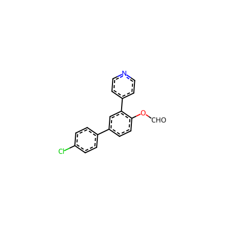 O=COc1ccc(-c2ccc(Cl)cc2)cc1-c1ccncc1